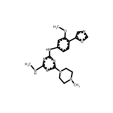 CNc1nc(Nc2ccc(-c3cnco3)c(OC)c2)nc(N2CCN(C)CC2)n1